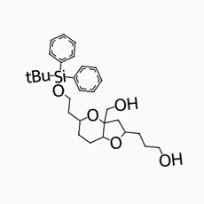 CC(C)(C)[Si](OCCC1CCC2OC(CCCO)CC2(CO)O1)(c1ccccc1)c1ccccc1